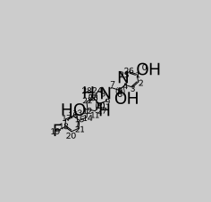 Oc1ccc([C@H](O)CN2C[C@@H]3CC(O)(Cc4ccc(F)cc4)C[C@@H]3C2)nc1